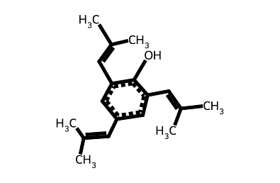 CC(C)=Cc1cc(C=C(C)C)c(O)c(C=C(C)C)c1